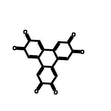 O=c1cc2c3cc(=O)c(=O)cc3c3cc(=O)c(=O)cc3c2cc1=O